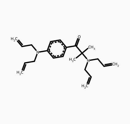 C=CCN(CC=C)c1ccc(C(=O)C(C)(C)N(CC=C)CC=C)cc1